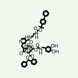 CC(C)(OC(=O)NCCNC(=O)c1ccnc(/C=C2/C(=O)N3[C@@H](C(=O)OC(c4ccccc4)c4ccccc4)[C@](C)(COC(=O)NCc4ccc(O)c(O)c4)S(=O)(=O)[C@H]23)c1)c1ccc(-c2ccccc2)cc1